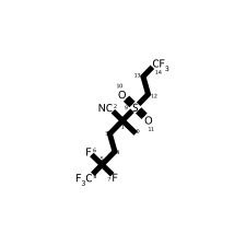 CC(C#N)(CCC(F)(F)C(F)(F)F)S(=O)(=O)CCC(F)(F)F